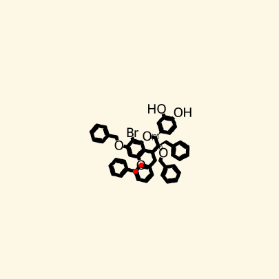 Oc1ccc([C@H]2Oc3c(Br)c(OCc4ccccc4)cc(OCc4ccccc4)c3C(Cc3ccccc3)[C@@]2(Cc2ccccc2)OCc2ccccc2)cc1O